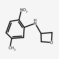 Cc1ccc([N+](=O)[O-])c(NC2COC2)c1